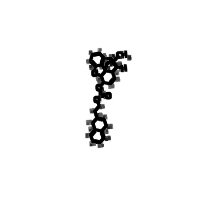 CN1CCC23c4c5cccc4OC2C(OS(=O)OCCC2=CCc4ccccc4C2)C=CC3[C@H]1C5